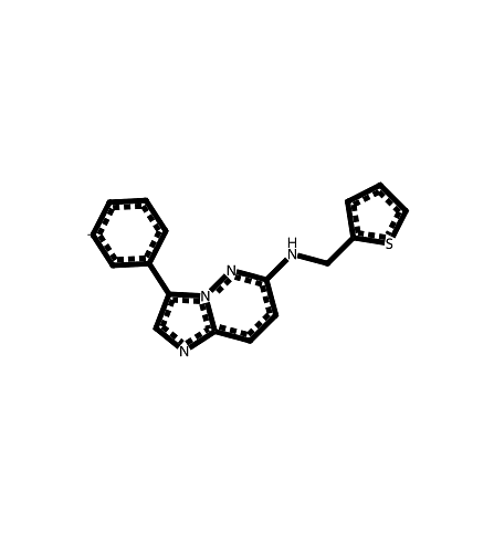 [c]1cccc(-c2cnc3ccc(NCc4cccs4)nn23)c1